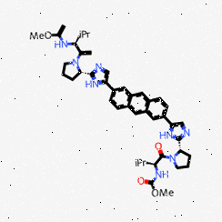 C=C(N[C@H](C(=C)N1CCC[C@H]1c1ncc(-c2ccc3cc4cc(-c5cnc([C@@H]6CCCN6C(=O)[C@@H](NC(=O)OC)C(C)C)[nH]5)ccc4cc3c2)[nH]1)C(C)C)OC